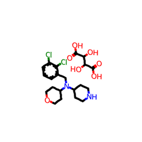 Clc1cccc(CN(C2CCNCC2)C2CCOCC2)c1Cl.O=C(O)C(O)C(O)C(=O)O